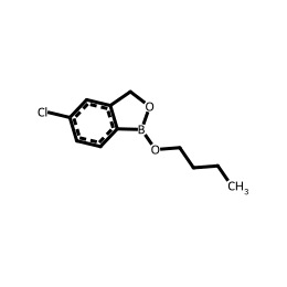 CCCCOB1OCc2cc(Cl)ccc21